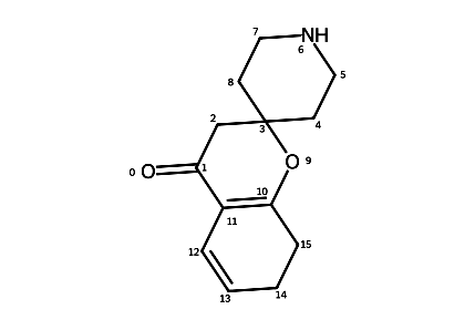 O=C1CC2(CCNCC2)OC2=C1C=CCC2